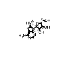 NNc1nc2c(N)ncnc2n1[C@@H]1O[C@H](CO)C(O)C1O